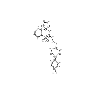 O=S1(=O)c2ccccc2C2(CN1CCCN1CCN(c3ccc(Cl)cc3)CC1)OCCO2